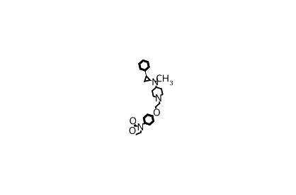 CN(C1CCN(CCOc2ccc(N3CCOC3=O)cc2)CC1)[C@@H]1C[C@H]1c1ccccc1